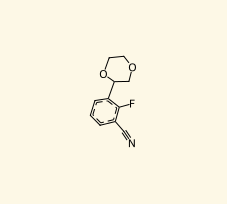 N#Cc1cccc(C2COCCO2)c1F